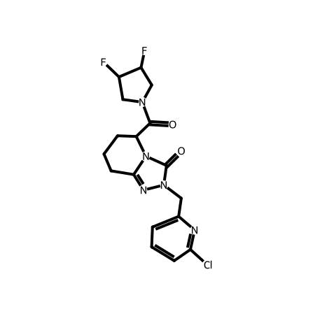 O=C(C1CCCc2nn(Cc3cccc(Cl)n3)c(=O)n21)N1CC(F)C(F)C1